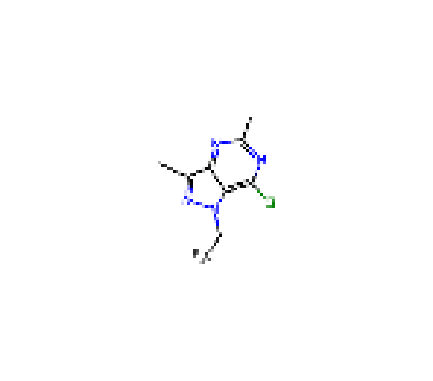 Cc1nc(Cl)c2c(n1)c(C)nn2CC(F)(F)F